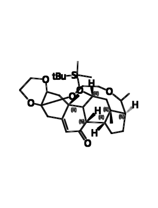 CC1OCCOC23CC4=CC(=O)[C@@H]5C([C@H](O[Si](C)(C)C(C)(C)C)C[C@]6(C)[C@@H]1CC[C@H]56)[C@@]4(C)CC2OCCO3